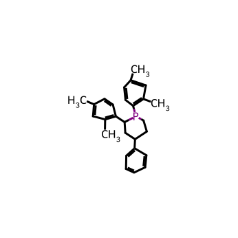 Cc1ccc(C2CC(c3ccccc3)CCP2c2ccc(C)cc2C)c(C)c1